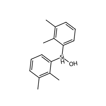 Cc1cccc([SiH](O)c2cccc(C)c2C)c1C